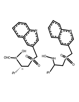 CC(C)C(CS(=O)(=O)Cc1cnc2ccccc2c1)NO.CC(C)[C@@H](CS(=O)(=O)Cc1cnc2ccccc2c1)N(O)C=O